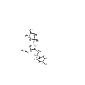 O=c1[nH]c(=O)n([C@@H]2CC(OCc3ccc(F)cc3)[C@H](CO)O2)cc1F